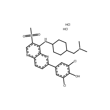 CN(C)CC1CCC(Nc2c(S(C)(=O)=O)cnc3ccc(-c4cc(Cl)c(O)c(Cl)c4)nc23)CC1.Cl.Cl